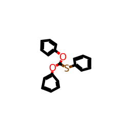 c1ccc(OC(Oc2ccccc2)Sc2ccccc2)cc1